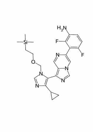 C[Si](C)(C)CCOCn1cnc(C2CC2)c1-c1ncn2cc(-c3c(F)ccc(N)c3F)ncc12